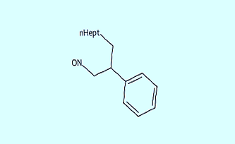 CCCCCCCCC(CN=O)c1ccccc1